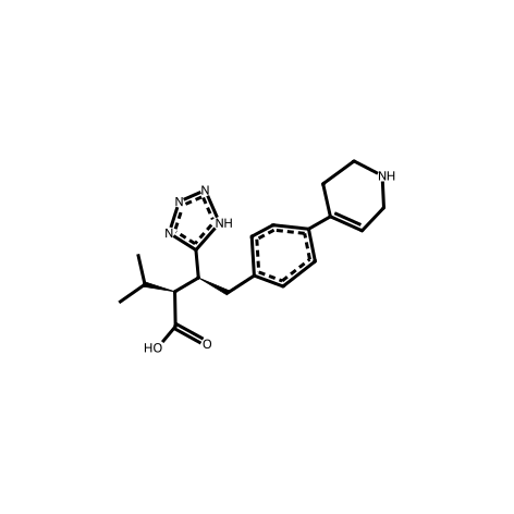 CC(C)[C@H](C(=O)O)[C@H](Cc1ccc(C2=CCNCC2)cc1)c1nnn[nH]1